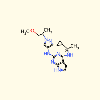 COCC(C)n1cc(Nc2nc(N[C@H](C)C3CC3)c3cc[nH]c3n2)cn1